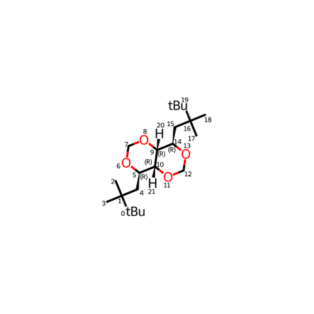 CC(C)(C)C(C)(C)C[C@H]1OCO[C@H]2[C@@H]1OCO[C@@H]2CC(C)(C)C(C)(C)C